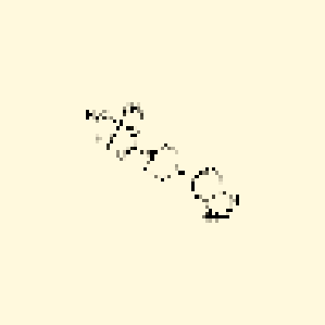 CC(C)(C)OC(=O)N1CCN(c2ccc3nc[nH]c3n2)CC1